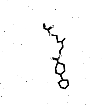 C=CC(=O)OCCC(C)CCOC(=O)C1CCC(C2CCCCC2)CC1